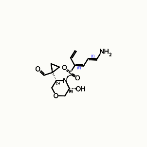 C=C/C(=C\C=C\N)S(=O)(=O)N1[C@H](O)COC[C@@H]1C1(C=O)CC1